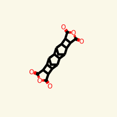 O=C1OC(=O)C2C1C1C3CC(C4C5CC(C34)C3C4C(=O)OC(=O)C4C53)C21